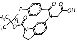 CC(C)(C)OC(=O)N1CCc2ccc(N(CC(=O)O)C(=O)c3ccc(F)cc3)cc21